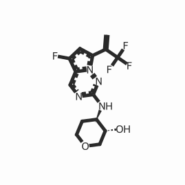 C=C(c1cc(F)c2cnc(N[C@@H]3CCOC[C@H]3O)nn12)C(F)(F)F